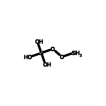 O[Si](O)(O)OO[SiH3]